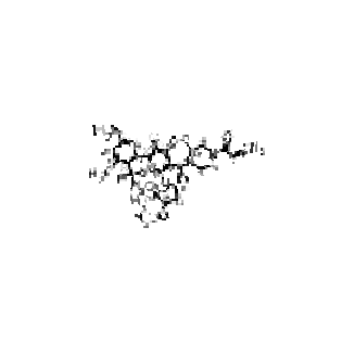 C=CC(=O)N1CCN2C(=O)c3c(N4CCC(OC)C4(C)C)nc(-c4nc(N)cc(C)c4C(F)(F)F)c(Cl)c3OCC2C1